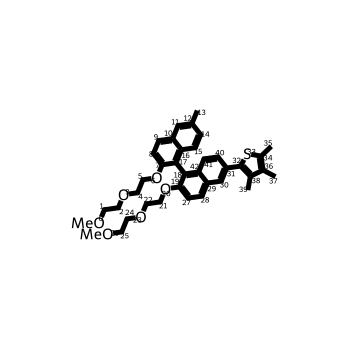 COCCOCCOc1ccc2cc(C)ccc2c1-c1c(OCCOCCOC)ccc2cc(-c3sc(C)c(C)c3C)ccc12